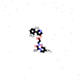 CCC(C)C(C(=O)NCCC(=O)Oc1cncc(-c2c(C)cccc2C)c1)n1ccc(C)cc1=O